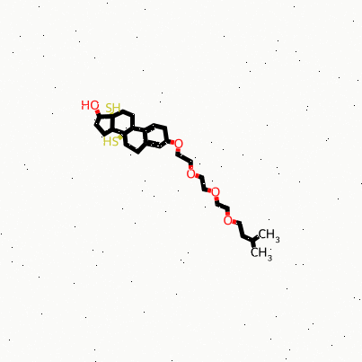 CC(C)CCOCCOCCOCCOC1C=C2CCC3(S)C(CCC4(S)C(O)CCC43)C2=CC1